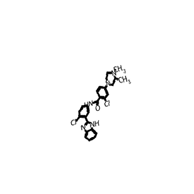 CC1CN(c2ccc(C(=O)Nc3ccc(Cl)c(-c4nc5ccccc5[nH]4)c3)c(Cl)c2)CCN1C